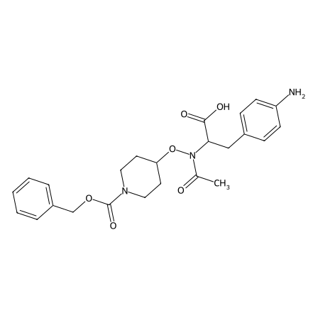 CC(=O)N(OC1CCN(C(=O)OCc2ccccc2)CC1)C(Cc1ccc(N)cc1)C(=O)O